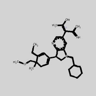 CCC1=CC(C2CN(CC3CCCCC3)c3cc(/C(C(C)=N)=C(\C)O)cnc32)=CCC1(C)COC